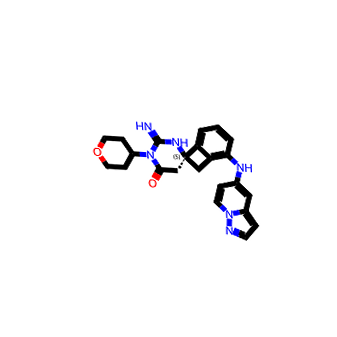 N=C1N[C@]2(CC(=O)N1C1CCOCC1)Cc1c(Nc3ccn4nccc4c3)cccc12